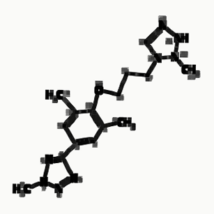 Cc1cc(-c2nnn(C)n2)cc(C)c1OCCCN1C=NNN1C